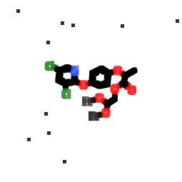 CCOC(COC(=O)C(C)Oc1ccc(Oc2ncc(Cl)cc2Cl)cc1)OCC